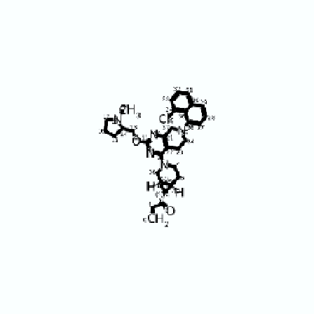 C=CC(=O)[C@H]1[C@@H]2CCN(c3nc(OCC4CCCN4C)nc4c3CCN(c3cccc5cccc(Cl)c35)C4)C[C@@H]21